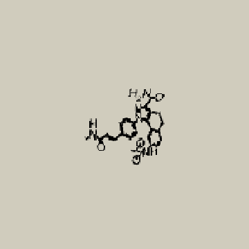 CNC(=O)C=Cc1ccc(-n2nc(C(N)=O)c3c2-c2cc(NS(C)(=O)=O)ccc2CC3)cc1